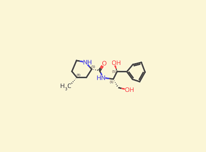 C[C@@H]1CCN[C@H](C(=O)N[C@@H](CO)[C@@H](O)c2ccccc2)C1